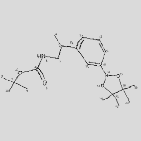 CC(CNC(=O)OC(C)(C)C)c1cccc(B2OC(C)(C)C(C)(C)O2)c1